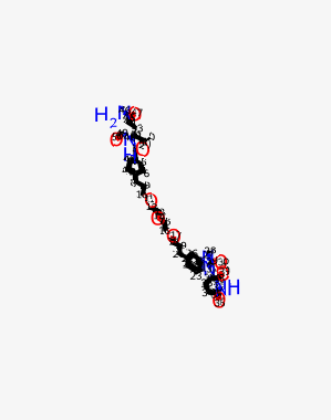 C[C@@H](OCc1ccc(CCCOCCOCCOCCCc2ccc3c(c2)n(C)c(=O)n3C2CCC(=O)NC2=O)cc1)[C@H](CCC(N)=O)NC=O